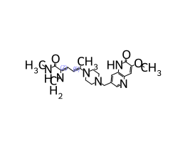 C=N/C(=C\C=C(/C)N1CCN(Cc2cnc3cc(OC)c(=O)[nH]c3c2)CC1)C(=O)NC